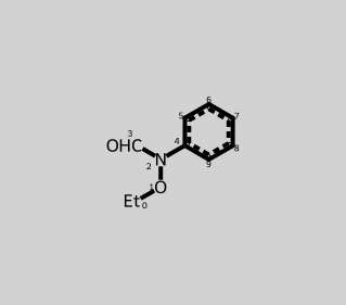 CCON(C=O)c1[c]cccc1